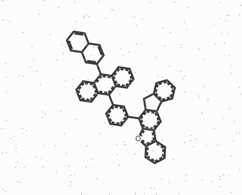 C1=CC2C=CC(c3c4ccccc4c(-c4cccc(-c5c6c(cc7c5oc5ccccc57)-c5ccccc5C6)c4)c4ccccc34)=CC2C=C1